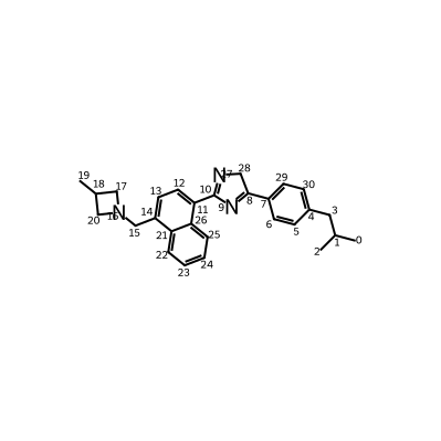 CC(C)Cc1ccc(C2=NC(c3ccc(CN4CC(C)C4)c4ccccc34)=NC2)cc1